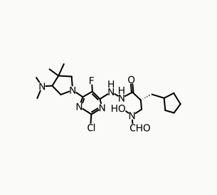 CN(C)C1CN(c2nc(Cl)nc(NNC(=O)[C@H](CC3CCCC3)CN(O)C=O)c2F)CC1(C)C